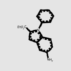 CCOC(=O)c1cc2cc(N)ccc2n1-c1ccccc1